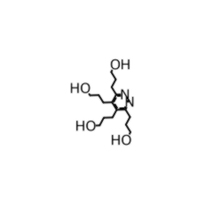 OCCCc1nnc(CCCO)c(CCCO)c1CCCO